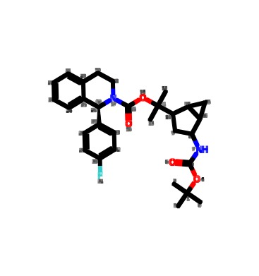 CC(C)(C)OC(=O)NC1CC(C(C)(C)OC(=O)N2CCc3ccccc3[C@@H]2c2ccc(F)cc2)C2CC12